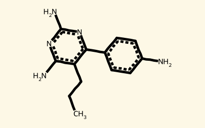 CCCc1c(N)nc(N)nc1-c1ccc(N)cc1